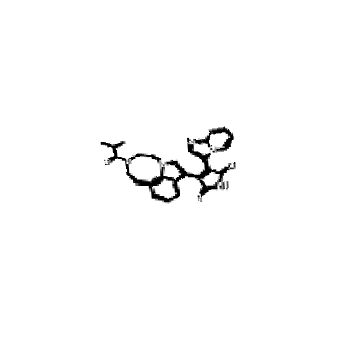 CC(C)C(=O)N1CCc2cccc3c(C4=C(c5cnc6ccccn56)C(=O)NC4=O)cn(c23)CC1